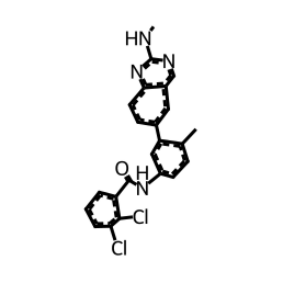 CNc1ncc2cc(-c3cc(NC(=O)c4cccc(Cl)c4Cl)ccc3C)ccc2n1